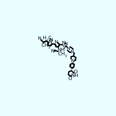 C=Nn1c(/C=C(\C)C#N)ccc1-c1cc(N[C@H](C)C#N)c(-c2nnc(N3CCN(CC4CCN(c5ccc([C@H]6CCC(=O)NC6=O)cc5)CC4)CC3)s2)cn1